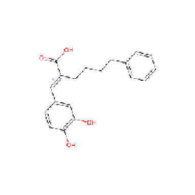 O=C(O)/C(=C/c1ccc(O)c(O)c1)CCCCc1ccccc1